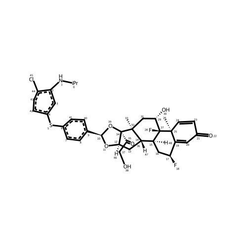 CC(C)Nc1cc(Sc2ccc([C@@H]3O[C@@H]4C[C@H]5[C@@H]6C[C@H](F)C7=CC(=O)C=C[C@]7(C)[C@@]6(F)[C@@H](O)C[C@]5(C)[C@]4(C(=O)CO)O3)cc2)ccc1Cl